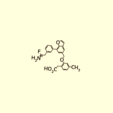 Cc1ccc(CC(=O)O)c(OCc2cc(-c3cccc(C[C@@H](N)F)c3)c3occc3c2)c1